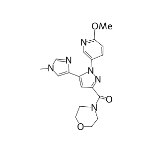 COc1ccc(-n2nc(C(=O)N3CCOCC3)cc2-c2cn(C)cn2)cn1